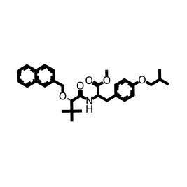 COC(=O)C(Cc1ccc(OCC(C)C)cc1)NC(=O)[C@@H](OCc1ccc2ccccc2c1)C(C)(C)C